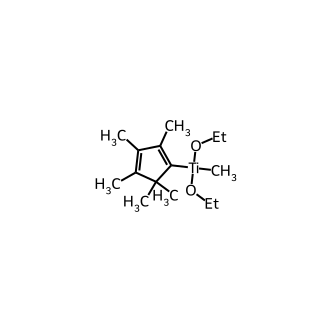 CC[O][Ti]([CH3])([O]CC)[C]1=C(C)C(C)=C(C)C1(C)C